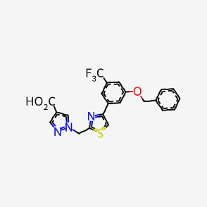 O=C(O)c1cnn(Cc2nc(-c3cc(OCc4ccccc4)cc(C(F)(F)F)c3)cs2)c1